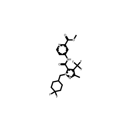 COC(=O)c1cc(NC(=O)c2c(C(F)(F)F)c(C)nn2CC2CCC(F)(F)CC2)ccn1